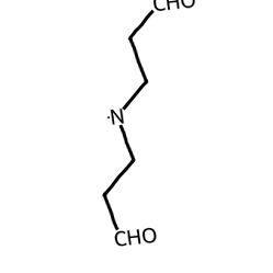 O=CCC[N]CCC=O